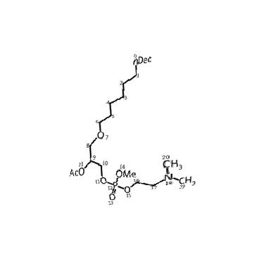 CCCCCCCCCCCCCCCCOCC(COP(=O)(OC)OCCN(C)C)OC(C)=O